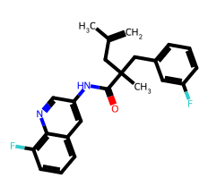 C=C(C)CC(C)(Cc1cccc(F)c1)C(=O)Nc1cnc2c(F)cccc2c1